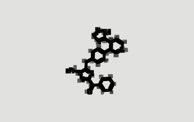 CCCn1nc(C(=O)c2ccccc2)nc1Cc1ccc(-c2cnccc2-c2nnn[nH]2)cc1